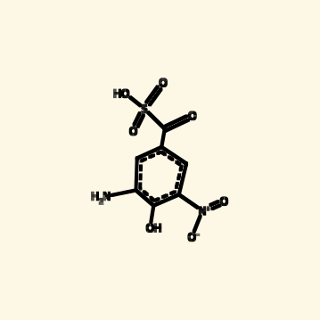 Nc1cc(C(=O)S(=O)(=O)O)cc([N+](=O)[O-])c1O